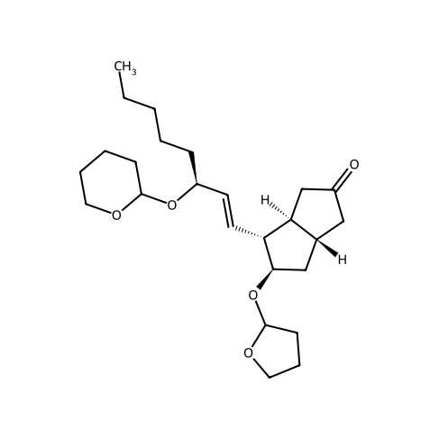 CCCCC[C@@H](C=C[C@@H]1[C@H]2CC(=O)C[C@@H]2C[C@H]1OC1CCCO1)OC1CCCCO1